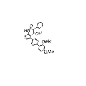 COc1ccc(-c2ccc(-c3csc4[nH]c(=O)c(-c5ccccc5)c(O)c34)cc2)c(OC)c1